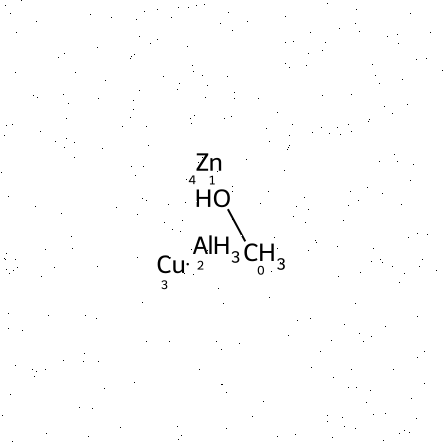 CO.[AlH3].[Cu].[Zn]